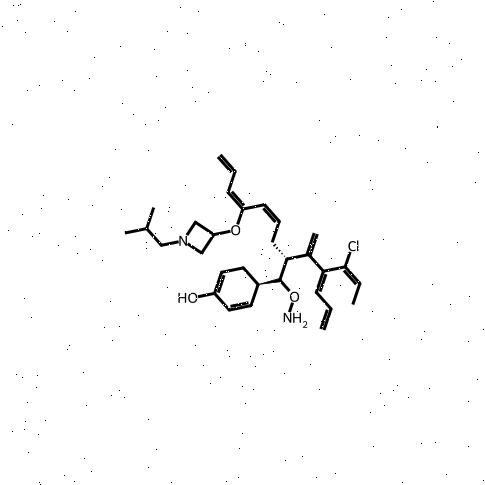 C=C/C=C(C(=C)[C@@H](C/C=C\C(=C/C=C)OC1CN(CC(C)C)C1)C(ON)[C@H]1C=CC(O)=CC1)\C(Cl)=C/C